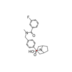 CN(Cc1ccc(C(=O)N2C3CCC2CC(O)C3)cc1)C(=O)c1cccc(F)c1